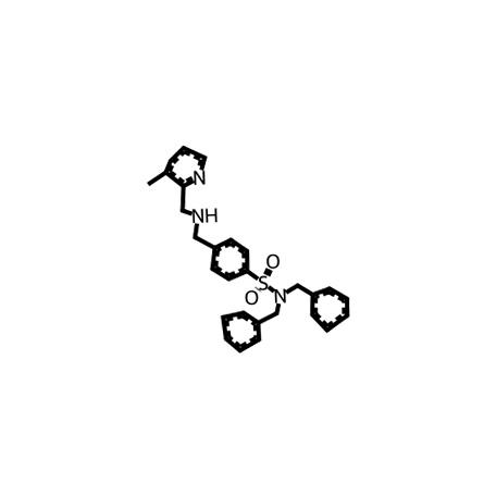 Cc1cccnc1CNCc1ccc(S(=O)(=O)N(Cc2ccccc2)Cc2ccccc2)cc1